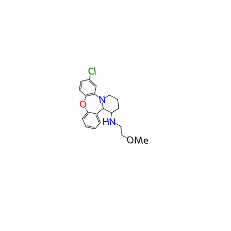 COCCNC1CCCN2c3cc(Cl)ccc3Oc3ccccc3C12